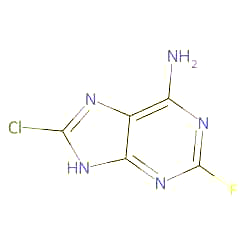 Nc1nc(F)nc2[nH]c(Cl)nc12